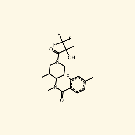 Cc1ccc(C(=O)N(C)C2CCN(C(=O)C(C)(O)C(F)(F)F)CC2C)c(F)c1